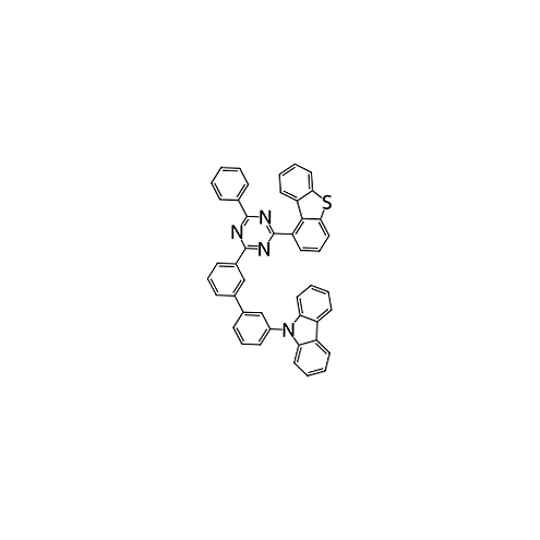 c1ccc(-c2nc(-c3cccc(-c4cccc(-n5c6ccccc6c6ccccc65)c4)c3)nc(-c3cccc4sc5ccccc5c34)n2)cc1